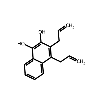 C=CCc1c(O)c(O)c2ccccc2c1CC=C